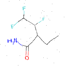 CCC(C(N)=O)C(F)C(F)F